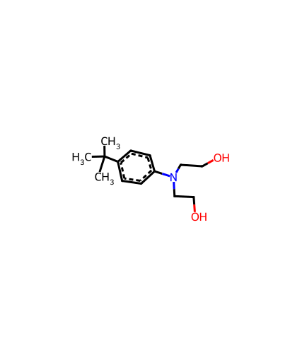 CC(C)(C)c1ccc(N(CCO)CCO)cc1